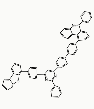 c1ccc(-c2nc(-c3ccc(-c4ccc(-c5cccc6c(-c7ccccc7)nc7ccccc7c56)cc4)cc3)cc(-c3ccc(-c4cccc5c4sc4ccccc45)cc3)n2)cc1